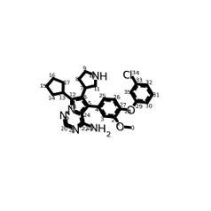 COc1cc(-c2c(C3CCNC3)c(C3CCCC3)n3ncnc(N)c23)ccc1Oc1cccc(Cl)c1